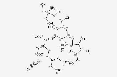 NC(CO)(CO)CO.O=C([O-])CN(CCN(CC(=O)[O-])CC(=O)[O-])CC(=O)[O-].OC[C@H]1O[C@@](CO)(O[C@H]2O[C@H](CO)[C@@H](O)[C@H](O)[C@H]2O)[C@@H](O)[C@@H]1O.[Na+].[Na+].[Na+].[Na+]